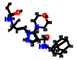 CCC(=O)NC(C)(C)/C=C/n1ncc(C(=O)NC2C3CC4CC(C3)CC2C4)c1N1CCOCC1